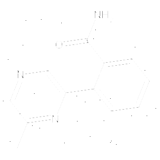 Cc1cncc(-c2ccccc2C(N)=O)n1